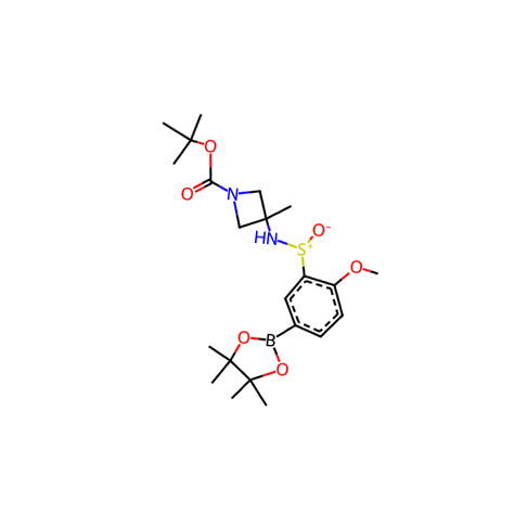 COc1ccc(B2OC(C)(C)C(C)(C)O2)cc1[S+]([O-])NC1(C)CN(C(=O)OC(C)(C)C)C1